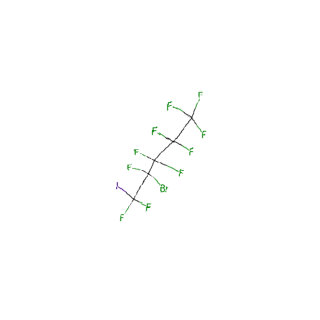 FC(F)(F)C(F)(F)C(F)(F)C(F)(Br)C(F)(F)I